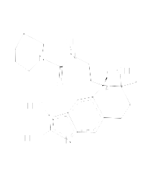 Cc1nc2cc3c(cc2n1C)[C@](C)(CCN(C)C(=O)N1CCCCC1)C(C)(C)CC3